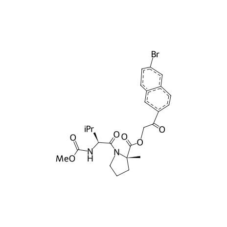 COC(=O)N[C@H](C(=O)N1CCC[C@@]1(C)C(=O)OCC(=O)c1ccc2cc(Br)ccc2c1)C(C)C